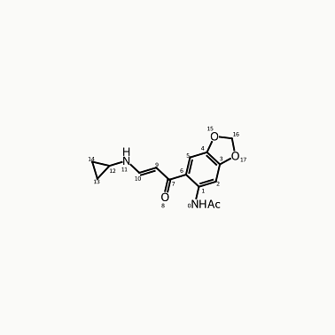 CC(=O)Nc1cc2c(cc1C(=O)C=CNC1CC1)OCO2